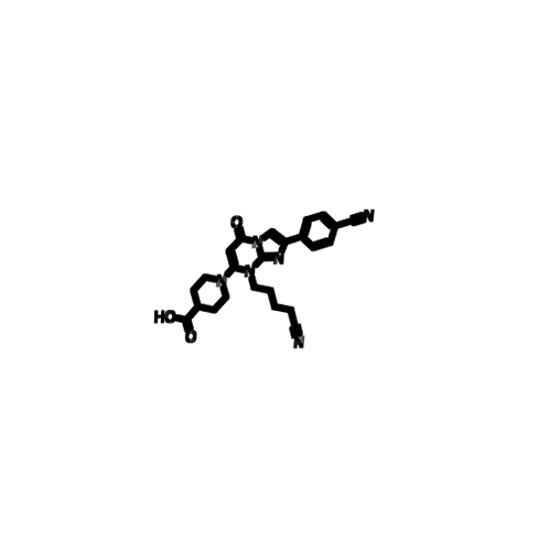 N#CCCCCn1c(N2CCC(C(=O)O)CC2)cc(=O)n2cc(-c3ccc(C#N)cc3)nc12